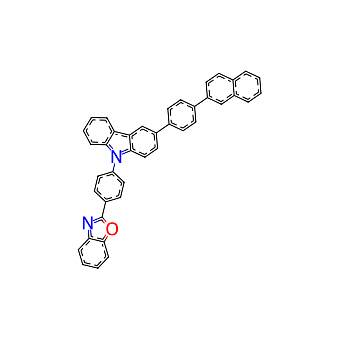 c1ccc2cc(-c3ccc(-c4ccc5c(c4)c4ccccc4n5-c4ccc(-c5nc6ccccc6o5)cc4)cc3)ccc2c1